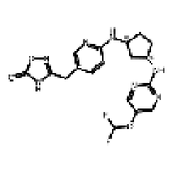 O=c1[nH]c(Cc2ccc(N[C@H]3CC[C@H](Nc4ncc(OC(F)F)cn4)C3)nc2)no1